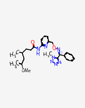 COC(C)CC(C)CCC(=O)Nc1cccc(CO/N=C(/c2ccccc2)c2nnnn2C)n1